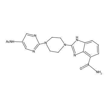 CC(=O)Nc1cnc(N2CCN(c3nc4c(C(N)=O)cccc4[nH]3)CC2)nc1